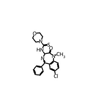 CN1C(=O)C(NC(=S)N2CCOCC2)N=C(c2ccccc2)c2cc(Cl)ccc21